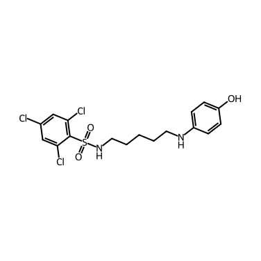 O=S(=O)(NCCCCCNc1ccc(O)cc1)c1c(Cl)cc(Cl)cc1Cl